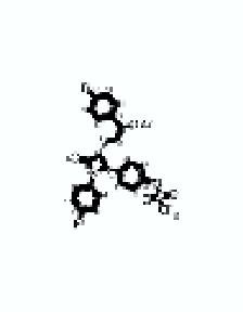 CC(=O)O[C@@H](CC[C@H]1C(=O)N(c2ccc(F)cc2)[C@@H]1c1ccc(OS(=O)(=O)C(F)(F)F)cc1)c1ccc(F)cc1